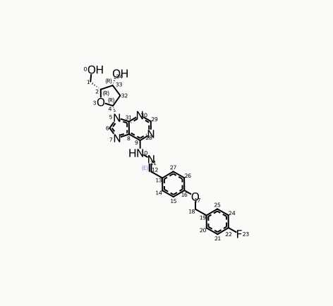 OC[C@H]1O[C@@H](n2cnc3c(N/N=C/c4ccc(OCc5ccc(F)cc5)cc4)ncnc32)C[C@H]1O